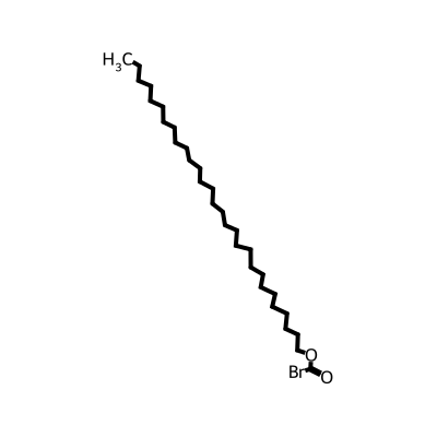 CCCCCCCCCCCCCCCCCCCCCCCCCCCCCOC(=O)Br